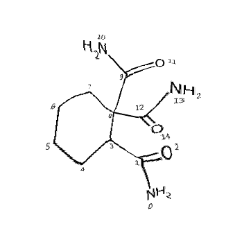 NC(=O)C1CCCCC1(C(N)=O)C(N)=O